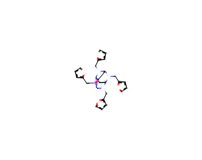 c1coc(CN2C3CC4N(Cc5ccco5)C2CC(N3Cc2ccco2)N4Cc2ccco2)c1